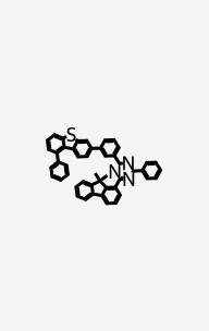 CC1(C)c2ccccc2-c2cccc(-c3nc(-c4ccccc4)nc(-c4cccc(-c5ccc6c(c5)sc5cccc(-c7ccccc7)c56)c4)n3)c21